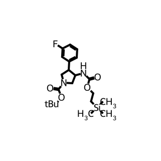 CC(C)(C)OC(=O)N1CC(NC(=O)OCC[Si](C)(C)C)C(c2cccc(F)c2)C1